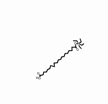 CCP(CC)(CC)(CC)OC(=O)CCCCCCCCCCCCCCCCCCC(=O)O